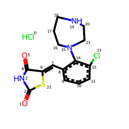 Cl.O=C1NC(=O)/C(=C/c2cccc(Cl)c2N2CCCNCC2)S1